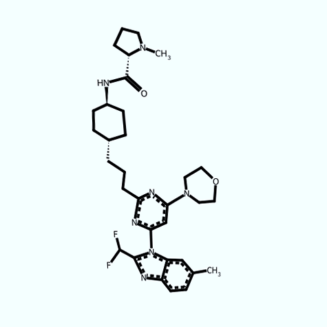 Cc1ccc2nc(C(F)F)n(-c3cc(N4CCOCC4)nc(CCC[C@H]4CC[C@H](NC(=O)[C@@H]5CCCN5C)CC4)n3)c2c1